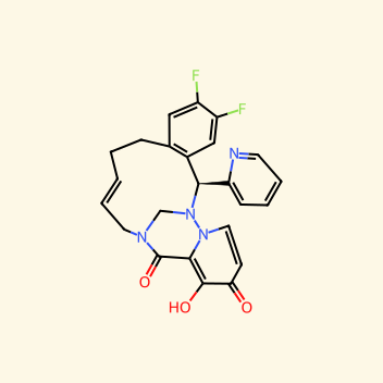 O=C1c2c(O)c(=O)ccn2N2CN1C/C=C/CCc1cc(F)c(F)cc1[C@H]2c1ccccn1